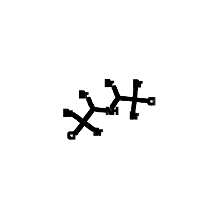 ClC(Br)(Br)C(Br)NC(Br)C(Cl)(Br)Br